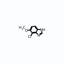 COc1ccc2[nH]cnc2c1Cl